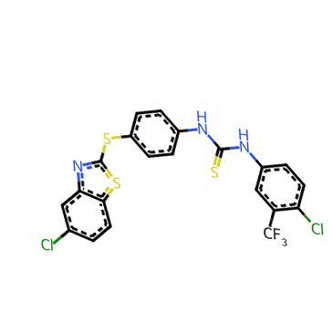 FC(F)(F)c1cc(NC(=S)Nc2ccc(Sc3nc4cc(Cl)ccc4s3)cc2)ccc1Cl